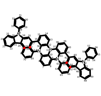 c1ccc(N2c3cccc4c3B(c3cccc(-c5ccc6c7ccccc7n(-c7ccccc7)c6c5)c32)c2cccc(-c3ccc5c6ccccc6n(-c6ccccc6)c5c3)c2N4c2ccccc2)cc1